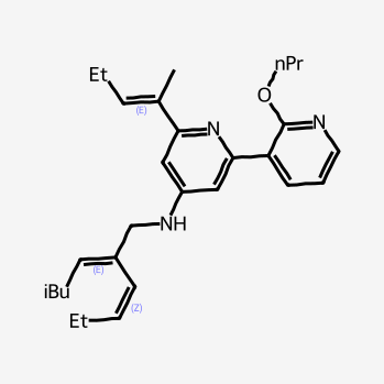 CC/C=C\C(=C/C(C)CC)CNc1cc(/C(C)=C/CC)nc(-c2cccnc2OCCC)c1